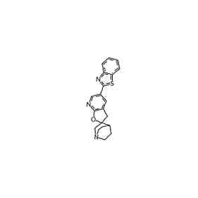 c1ccc2sc(-c3cnc4c(c3)CC3(CN5CCC3CC5)O4)nc2c1